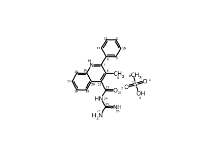 CS(=O)(=O)O.Cc1c(-c2ccccc2)nc2ccccc2c1C(=O)NC(=N)N